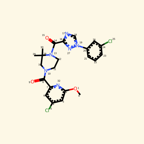 COc1cc(Cl)cc(C(=O)N2CCN(C(=O)c3ncn(-c4cccc(Cl)c4)n3)C(C)(C)C2)n1